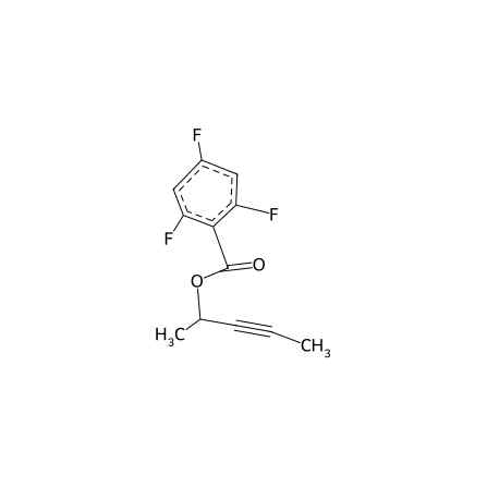 CC#CC(C)OC(=O)c1c(F)cc(F)cc1F